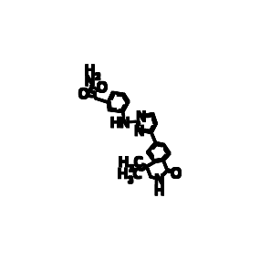 CC1(C)CNC(=O)c2ccc(-c3ccnc(Nc4cccc(CS(N)(=O)=O)c4)n3)cc21